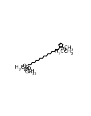 CO[Si](CCCCCCCCCCCCCCCCC1=[C]([Pt]([CH3])([CH3])[CH3])CC=C1)(OC)OC